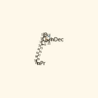 C=C(CCCCC/C=C/C/C=C\CCC)CC(CCC(C)CC)CSC(=C)CCCCCCCCCCC